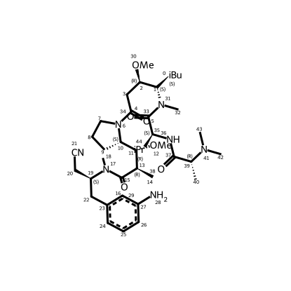 CC[C@H](C)[C@@H]([C@@H](CC(=O)N1CCC[C@H]1[C@H](OC)[C@@H](C)C(=O)N(C)[C@H](CC#N)Cc1cccc(N)c1)OC)N(C)C(=O)[C@@H](NC(=O)[C@@H](C)N(C)C)C(C)C